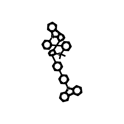 C[Si]1(C)c2ccccc2C2(c3ccccc3-n3c4ccccc4c4cccc2c43)c2cccc(-c3ccc(-c4ccc(-n5c6ccccc6c6ccccc65)cc4)cc3)c21